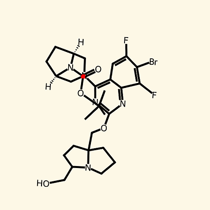 CC(C)(C)OC(=O)N1[C@@H]2CC[C@H]1CN(c1nc(OCC34CCCN3C(CO)CC4)nc3c(F)c(Br)c(F)cc13)C2